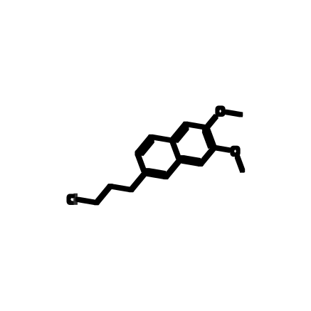 COc1cc2ccc(CCCCl)cc2cc1OC